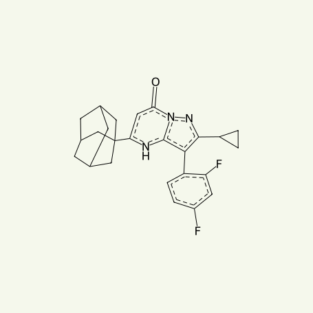 O=c1cc(C23CC4CC(CC(C4)C2)C3)[nH]c2c(-c3ccc(F)cc3F)c(C3CC3)nn12